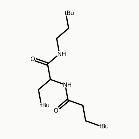 CC(C)(C)CCNC(=O)C(CC(C)(C)C)NC(=O)CCC(C)(C)C